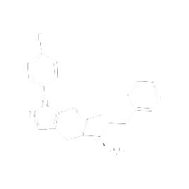 CO[C@H](CCc1ccccc1)[C@@]1(C)Cc2cnn(-c3ccc(F)cc3)c2C=C1C